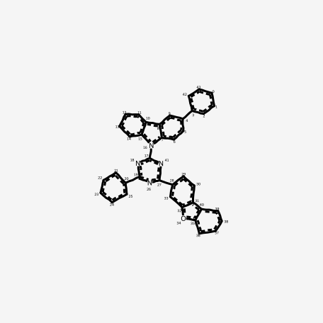 c1ccc(-c2ccc3c(c2)c2ccccc2n3-c2nc(-c3ccccc3)nc(-c3ccc4c(c3)oc3ccccc34)n2)cc1